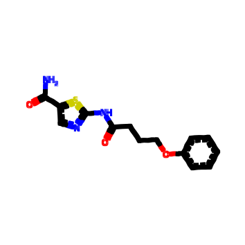 NC(=O)c1cnc(NC(=O)CCCOc2ccccc2)s1